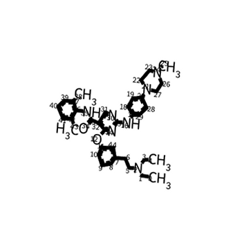 CCN(CC)CCc1cccc(Oc2nc(Nc3ccc(N4CCN(C)CC4)cc3)ncc2C(=O)Nc2c(C)cccc2C)c1